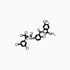 Cc1ccc2c(N)nn(C(=O)c3cc(NC(=O)[C@@H]4[C@@H](c5cc(Cl)cc(Cl)c5)C4(Cl)Cl)ccc3Cl)c2c1